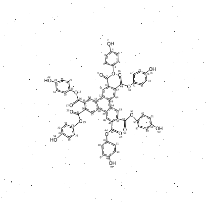 O=C(Oc1ccc(O)cc1)c1cc2c3cc(C(=O)Oc4ccc(O)cc4)c(C(=O)Oc4ccc(O)cc4)cc3c3cc(C(=O)Oc4ccc(O)cc4)c(C(=O)Oc4ccc(O)cc4)cc3c2cc1C(=O)Oc1ccc(O)cc1